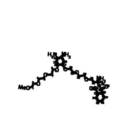 COCCOCCOCCOc1cc(N)c(N)cc1OCCOCCOCCC(C)(N)N1C(=O)c2ccccc2C1=O